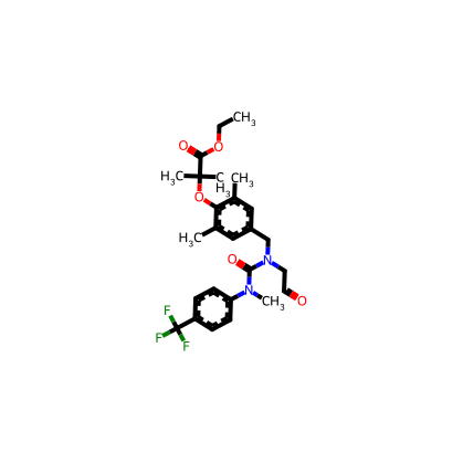 CCOC(=O)C(C)(C)Oc1c(C)cc(CN(CC=O)C(=O)N(C)c2ccc(C(F)(F)F)cc2)cc1C